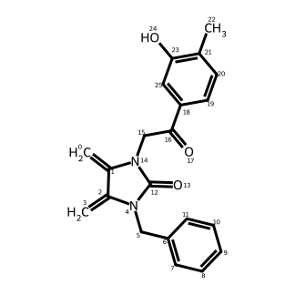 C=c1c(=C)n(Cc2ccccc2)c(=O)n1CC(=O)c1ccc(C)c(O)c1